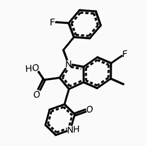 Cc1cc2c(-c3ccc[nH]c3=O)c(C(=O)O)n(Cc3ccccc3F)c2cc1F